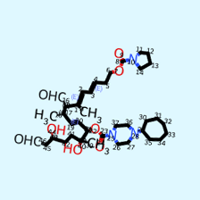 C/C(=C\C=C\CCOC(=O)N1CCCC1)[C@H](C=O)[C@@H](C)/C=C/[C@@H](OC(=O)N1CCN(C2CCCCCC2)CC1)[C@](C)(O)CC[C@@H](O)CC=O